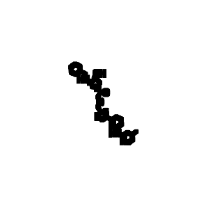 Cc1ccnc(Nc2cccc(-c3cnc(COCC(=O)N4C[C@H](NCc5ccccc5)[C@@H](O)C4)s3)n2)c1